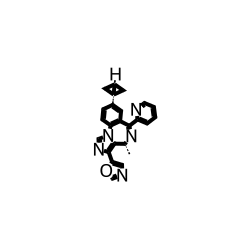 C[C@H]1N=C(c2ccccn2)c2cc([C@]34C[C@H]3C4)ccc2-n2cnc(-c3cnco3)c21